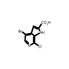 O=C(O)c1cc2c(Br)cnc(Cl)c2[nH]1